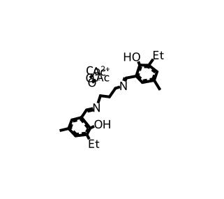 CC(=O)[O-].CC(=O)[O-].CCc1cc(C)cc(C=NCCCN=Cc2cc(C)cc(CC)c2O)c1O.[Co+2]